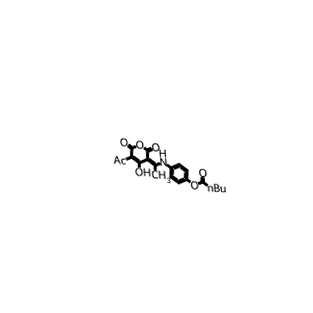 CCCCC(=O)Oc1ccc(NC(C)=C2C(=O)OC(=O)C(C(C)=O)=C2O)cc1